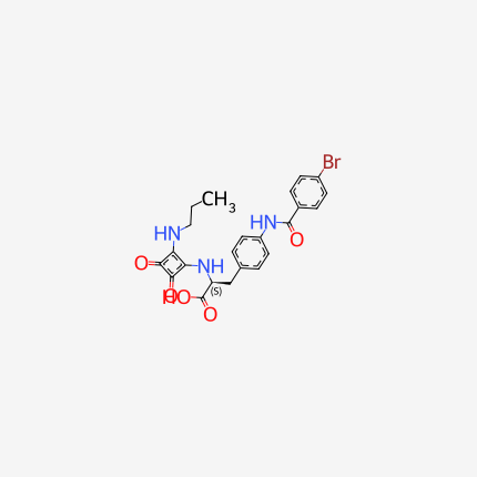 CCCNc1c(N[C@@H](Cc2ccc(NC(=O)c3ccc(Br)cc3)cc2)C(=O)O)c(=O)c1=O